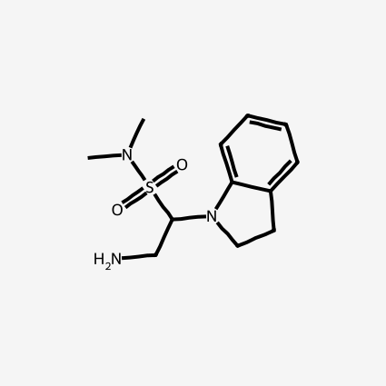 CN(C)S(=O)(=O)C(CN)N1CCc2ccccc21